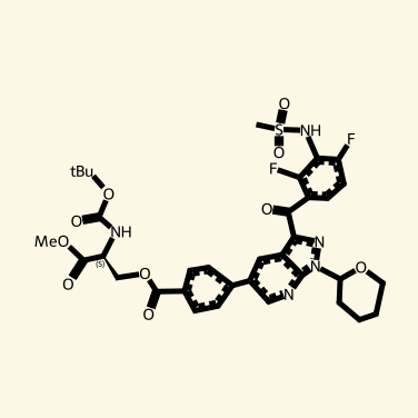 COC(=O)[C@H](COC(=O)c1ccc(-c2cnc3c(c2)c(C(=O)c2ccc(F)c(NS(C)(=O)=O)c2F)nn3C2CCCCO2)cc1)NC(=O)OC(C)(C)C